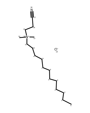 CCCCCCCCCCCC[N+](C)(C)CCC#N.[Cl-]